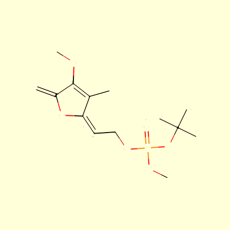 C=c1o/c(=C/COP(=O)(OC)OC(C)(C)C)c(C)c1OC